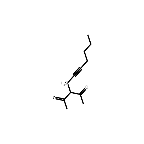 CCCCC#C[SiH2]C(C(C)=O)C(C)=O